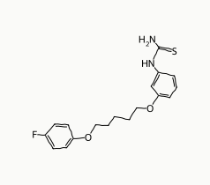 NC(=S)Nc1cccc(OCCCCCOc2ccc(F)cc2)c1